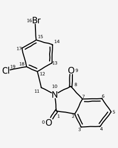 O=C1c2ccccc2C(=O)N1Cc1ccc(Br)cc1Cl